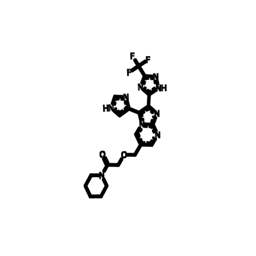 O=C(COCc1cnc2nc(-c3nc(C(F)(F)F)n[nH]3)c(-c3c[nH]cn3)n2c1)N1CCCCC1